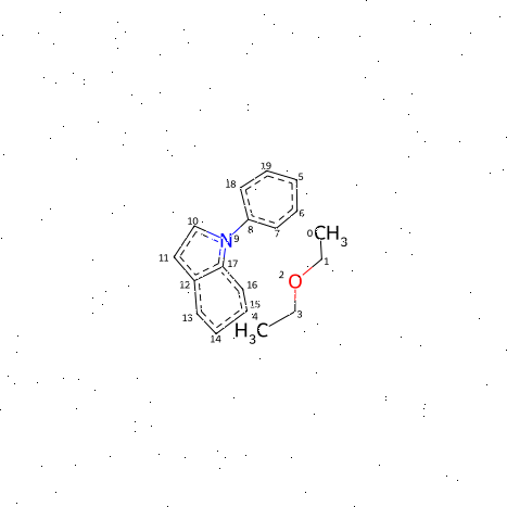 CCOCC.c1ccc(-n2ccc3ccccc32)cc1